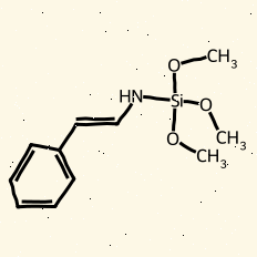 CO[Si](NC=Cc1ccccc1)(OC)OC